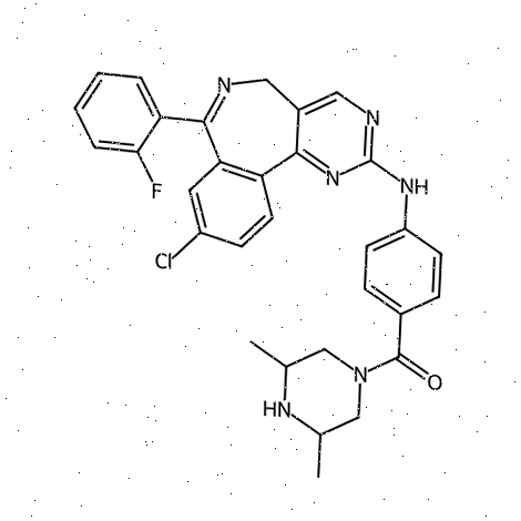 CC1CN(C(=O)c2ccc(Nc3ncc4c(n3)-c3ccc(Cl)cc3C(c3ccccc3F)=NC4)cc2)CC(C)N1